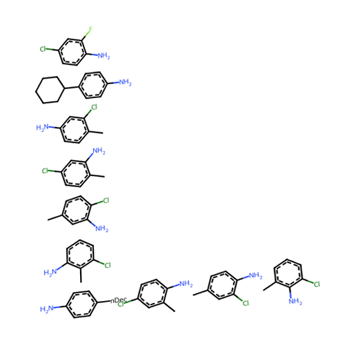 CCCCCCCCCCc1ccc(N)cc1.Cc1c(N)cccc1Cl.Cc1cc(Cl)ccc1N.Cc1ccc(Cl)c(N)c1.Cc1ccc(Cl)cc1N.Cc1ccc(N)c(Cl)c1.Cc1ccc(N)cc1Cl.Cc1cccc(Cl)c1N.Nc1ccc(C2CCCCC2)cc1.Nc1ccc(Cl)cc1F